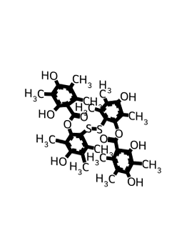 Cc1c(C)c(C(=O)Oc2c(C)c(O)c(C)c(C)c2SSc2c(C)c(C)c(O)c(C)c2OC(=O)c2c(C)c(C)c(O)c(C)c2O)c(O)c(C)c1O